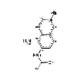 CC(=O)Nc1ccc2cc(Br)ccc2c1N